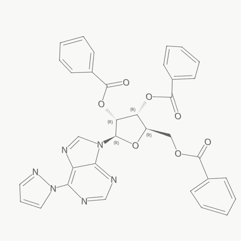 O=C(OC[C@H]1O[C@@H](n2cnc3c(-n4cccn4)ncnc32)[C@H](OC(=O)c2ccccc2)[C@@H]1OC(=O)c1ccccc1)c1ccccc1